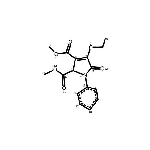 CCOC1=C(C(=O)OC)C(C(=O)OC)N(c2ccccc2)C1=O